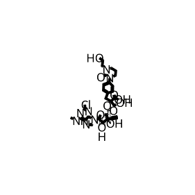 C#C[C@@]1(O)[C@@H](COC(Cc2ccc(N3CCCN(CCO)C3=O)cc2)(C(=O)O)C(=O)O)O[C@@H](n2cnc3c(NC)nc(Cl)nc32)[C@@H]1O